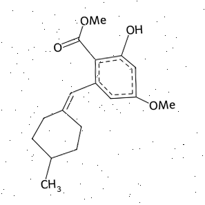 COC(=O)c1c(O)cc(OC)cc1C=C1CCC(C)CC1